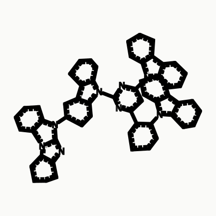 c1ccc(-n2c3ccccc3c3ccccc32)c(-c2cc(-n3c4ccccc4c4ccccc43)nc(-n3c4ccccc4c4cc(-n5c6ccccc6n6c7ccccc7nc56)ccc43)n2)c1